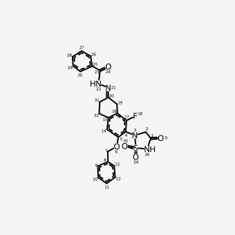 O=C1CN(c2c(OCc3ccccc3)cc3c(c2F)C/C(=N/NC(=O)c2ccccc2)CC3)S(=O)(=O)N1